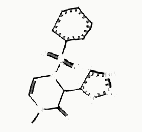 CN1C=CN(S(=O)(=O)c2ccccc2)C(c2c[nH]nn2)C1=O